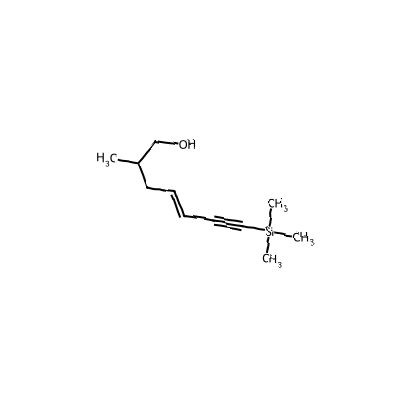 CC(CO)CC=CC#C[Si](C)(C)C